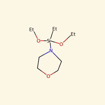 CCO[Si](CC)(OCC)N1CCOCC1